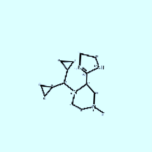 CN1CCN(C(C2CC2)C2CC2)C(C2=NCCN2)C1